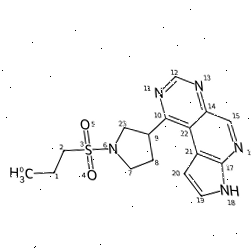 CCCS(=O)(=O)N1CCC(c2ncnc3cnc4[nH]ccc4c23)C1